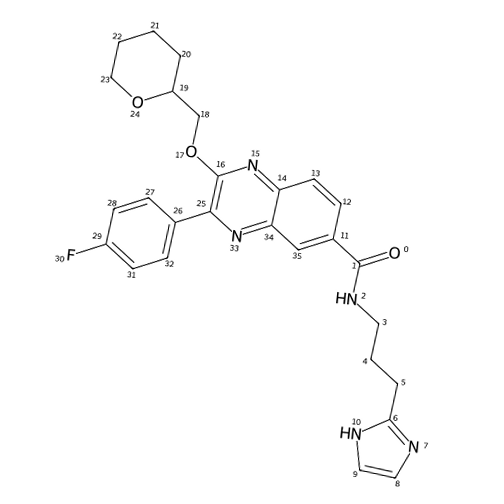 O=C(NCCCc1ncc[nH]1)c1ccc2nc(OCC3CCCCO3)c(-c3ccc(F)cc3)nc2c1